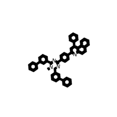 C=N/C(=N\C(=N/Cc1cccc(-c2ccccc2)c1)c1ccc(-c2cc(-c3ccccc3)c3c(ccc4ccccc43)n2)cc1)c1cccc(-c2ccccc2)c1